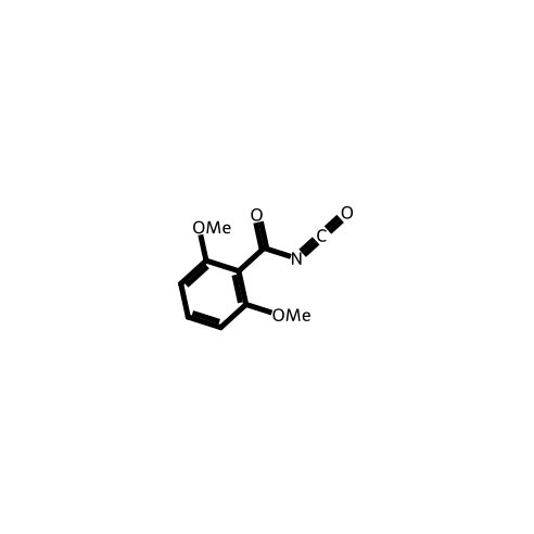 COc1cccc(OC)c1C(=O)N=C=O